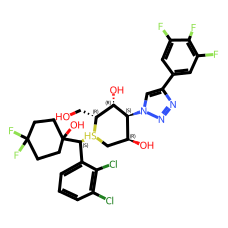 OC[C@@H]1[C@H](O)[C@@H](n2cc(-c3cc(F)c(F)c(F)c3)nn2)[C@@H](O)C[SH]1[C@@H](c1cccc(Cl)c1Cl)C1(O)CCC(F)(F)CC1